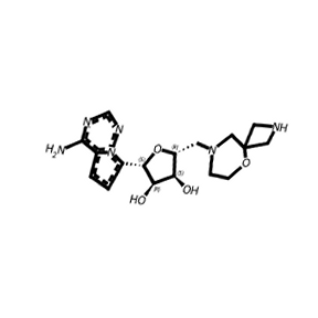 Nc1ncnn2c([C@@H]3O[C@H](CN4CCOC5(CNC5)C4)[C@@H](O)[C@H]3O)ccc12